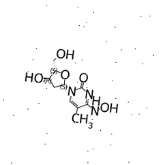 Cc1cn([C@@H]2C[C@@H](O)[C@H](CO)O2)c(=O)nc1NO